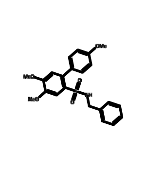 COc1ccc(-c2cc(OC)c(OC)cc2S(=O)(=O)NCc2ccccc2)cc1